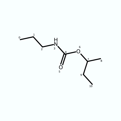 CCCNC(=O)OC(C)CC